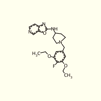 CCOc1cc(CN2CCC(Nc3nc4ccncc4o3)CC2)cc(OCC)c1F